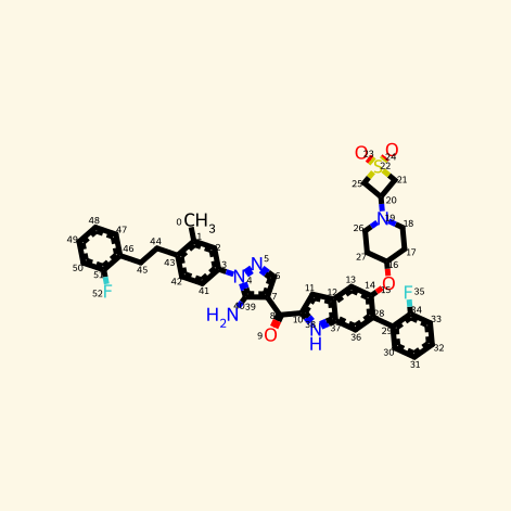 Cc1cc(-n2ncc(C(=O)c3cc4cc(OC5CCN(C6CS(=O)(=O)C6)CC5)c(-c5ccccc5F)cc4[nH]3)c2N)ccc1CCc1ccccc1F